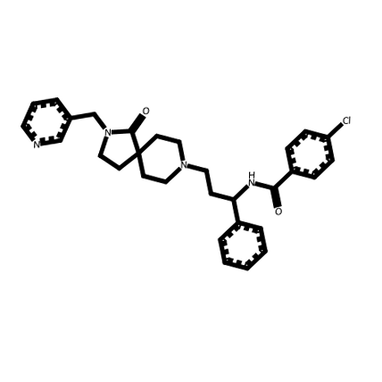 O=C(NC(CCN1CCC2(CC1)CCN(Cc1cccnc1)C2=O)c1ccccc1)c1ccc(Cl)cc1